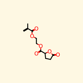 C=C(C)C(=O)OCCOC(=O)C1CCC(=O)O1